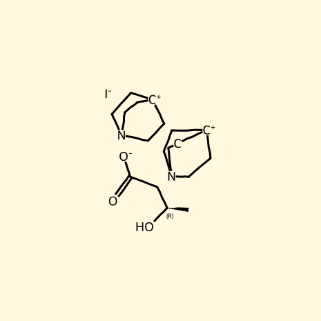 C1CN2CC[C+]1CC2.C1CN2CC[C+]1CC2.C[C@@H](O)CC(=O)[O-].[I-]